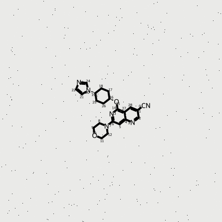 N#Cc1cnc2cc(N3CCOCC3)nc(O[C@H]3CC[C@@H](n4ccnc4)CC3)c2c1